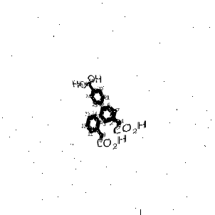 O=C(O)Cc1ccccc1.O=C(O)Cc1ccccc1.OC(O)c1ccccc1